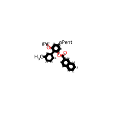 CCCCCc1cc(OC(=O)c2ccc3ccccc3c2)c(C2C=C(C)CCC2)c(OC(C)C)c1